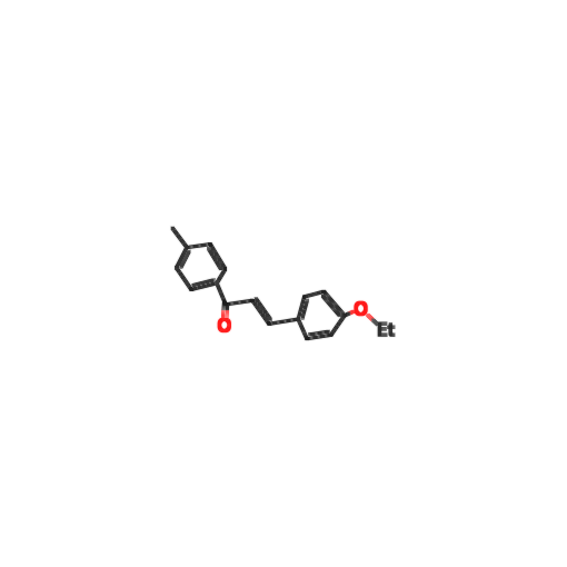 CCOc1ccc(C=CC(=O)c2ccc(C)cc2)cc1